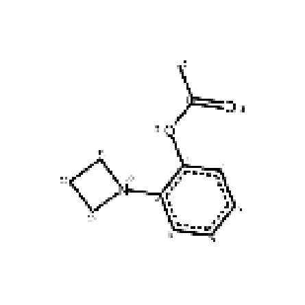 CC(=O)Oc1ccccc1N1CCC1